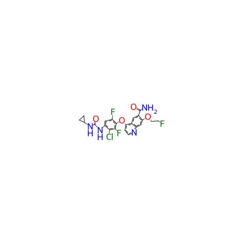 NC(=O)c1cc2c(Oc3c(F)cc(NC(=O)NC4CC4)c(Cl)c3F)ccnc2cc1OCCF